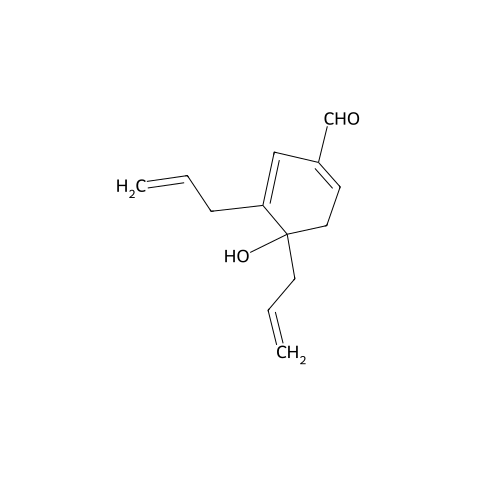 C=CCC1=CC(C=O)=CCC1(O)CC=C